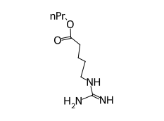 CCCOC(=O)CCCCNC(=N)N